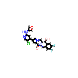 O=C1c2cc(-c3cc(NC4COC4)ncc3Cl)cn2CCN1Cc1cc(F)c(F)cc1CO